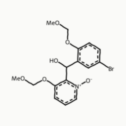 COCOc1ccc(Br)cc1C(O)c1c(OCOC)ccc[n+]1[O-]